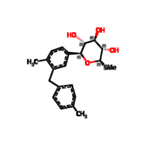 CS[C@H]1O[C@@H](c2ccc(C)c(Cc3ccc(C)cc3)c2)[C@H](O)[C@@H](O)[C@@H]1O